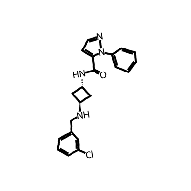 O=C(N[C@H]1C[C@H](NCc2cccc(Cl)c2)C1)c1ccnn1-c1ccccc1